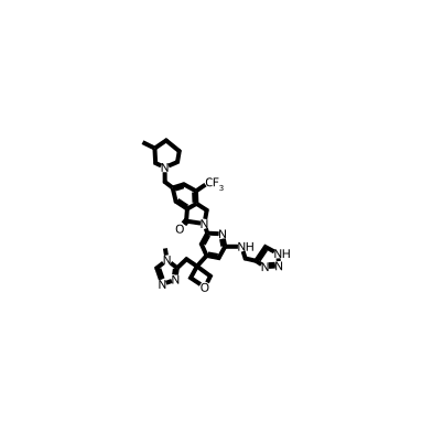 CC1CCCN(Cc2cc3c(c(C(F)(F)F)c2)CN(c2cc(C4(Cc5nncn5C)COC4)cc(NCc4c[nH]nn4)n2)C3=O)C1